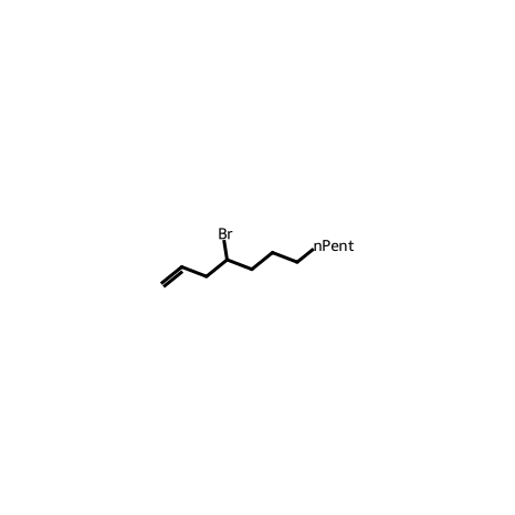 C=CCC(Br)CCCCCCCC